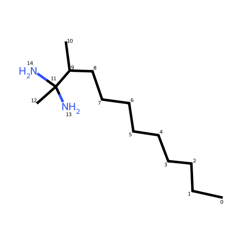 CCCCCCCCCC(C)C(C)(N)N